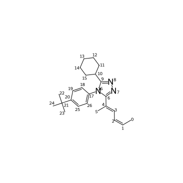 C/C=C\C=C(/C)c1nnc(C2CCCCC2)n1-c1ccc(C(C)(C)C)cc1